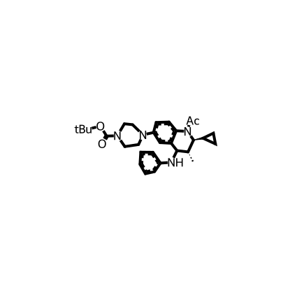 CC(=O)N1c2ccc(N3CCN(C(=O)OC(C)(C)C)CC3)cc2C(Nc2ccccc2)[C@@H](C)[C@@H]1C1CC1